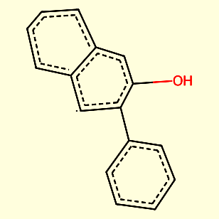 Oc1cc2ccccc2[c]c1-c1ccccc1